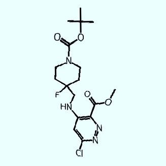 COC(=O)c1nnc(Cl)cc1NCC1(F)CCN(C(=O)OC(C)(C)C)CC1